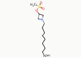 CCCCCCCCCCCCCCCCCCN1CC(OS(C)(=O)=O)C1